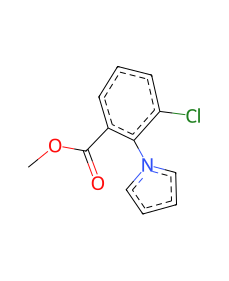 COC(=O)c1cccc(Cl)c1-n1cccc1